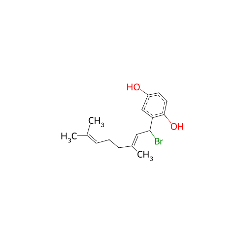 CC(C)=CCC/C(C)=C/C(Br)c1cc(O)ccc1O